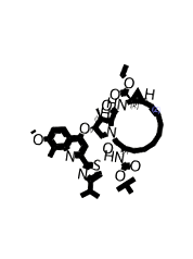 CCOC(=O)[C@@]12C[C@H]1/C=C\CCCCC[C@H](NC(=O)OC(C)(C)C)C(=O)N1C[C@H](Oc3cc(-c4nc(C(C)C)cs4)nc4c(C)c(OC)ccc34)[C@@H](C)[C@H]1C(=O)N2